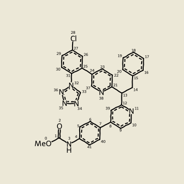 COC(=O)Nc1ccc(-c2ccnc(C(Cc3ccccc3)c3ccc(-c4cc(Cl)ccc4-n4cnnn4)cn3)c2)cc1